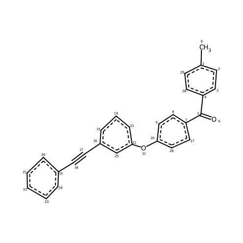 Cc1ccc(C(=O)c2ccc(Oc3cccc(C#Cc4ccccc4)c3)cc2)cc1